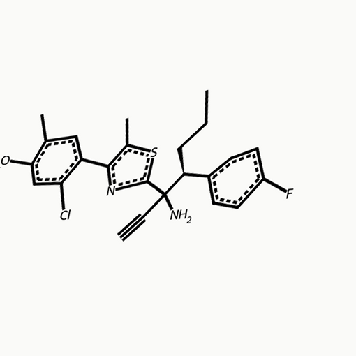 C#CC(N)(c1nc(-c2cc(C)c(OC)cc2Cl)c(C)s1)[C@@H](CCC)c1ccc(F)cc1